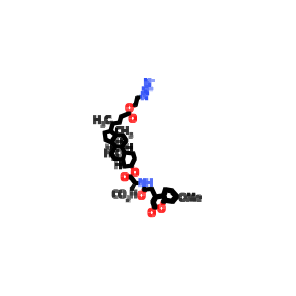 COc1ccc2c(CC(=O)N[C@@H](CC(=O)O)C(=O)O[C@@H]3CC[C@@]4(C)[C@H](CC[C@@H]5[C@@H]4CC[C@]4(C)C([C@H](C)CCC(=O)OCCN=[N+]=[N-])CC[C@@H]54)C3)cc(=O)oc2c1